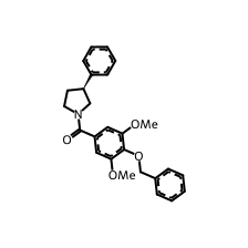 COc1cc(C(=O)N2CC[C@@H](c3ccccc3)C2)cc(OC)c1OCc1ccccc1